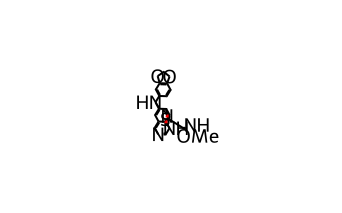 COC(=N)C1=NC2=CC(Nc3ccc4c(c3)OCO4)=CC3=CN=CNC32S1